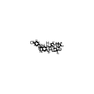 CNC(C)C(=O)NC(C(=O)N1CCCC1C(=O)Nc1cc2c(Nc3ccc(Cl)cc3)ncnc2cc1OC)C(C)(C)C